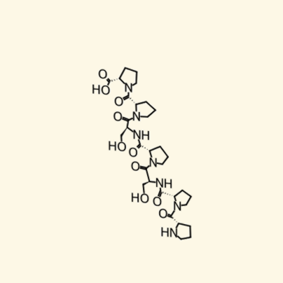 O=C(O)[C@@H]1CCCN1C(=O)[C@@H]1CCCN1C(=O)[C@H](CO)NC(=O)[C@@H]1CCCN1C(=O)[C@H](CO)NC(=O)[C@@H]1CCCN1C(=O)[C@@H]1CCCN1